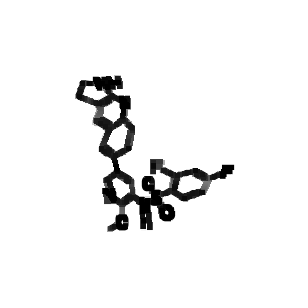 COc1ncc(-c2ccc3nc4c(cc3c2)CCN4)cc1NS(=O)(=O)c1ccc(F)cc1F